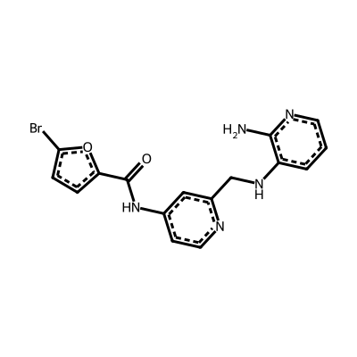 Nc1ncccc1NCc1cc(NC(=O)c2ccc(Br)o2)ccn1